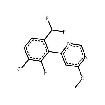 COc1cc(-c2c(C(F)F)ccc(Cl)c2F)ncn1